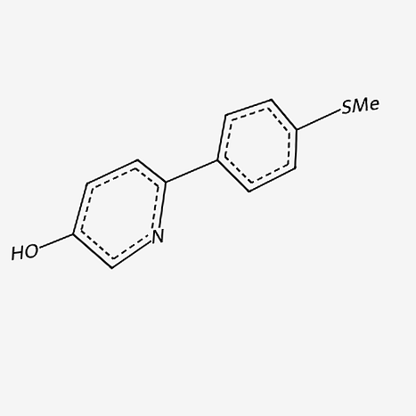 CSc1ccc(-c2ccc(O)cn2)cc1